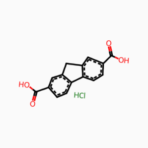 Cl.O=C(O)c1ccc2c(c1)Cc1cc(C(=O)O)ccc1-2